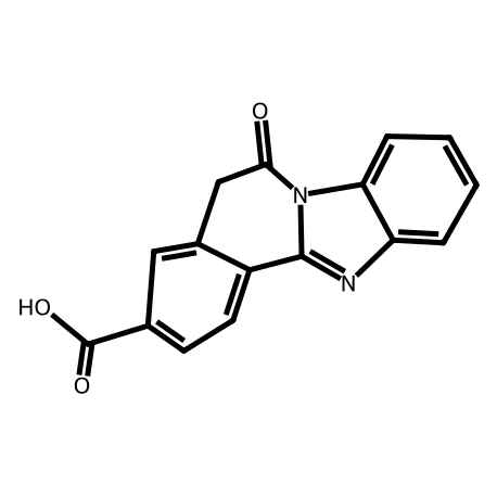 O=C(O)c1ccc2c(c1)CC(=O)n1c-2nc2ccccc21